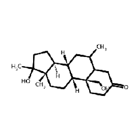 CC1C[C@@H]2[C@@H](CC[C@@]3(C)[C@H]2CCC3(C)O)[C@@]2(CO)CCC(=O)CC12